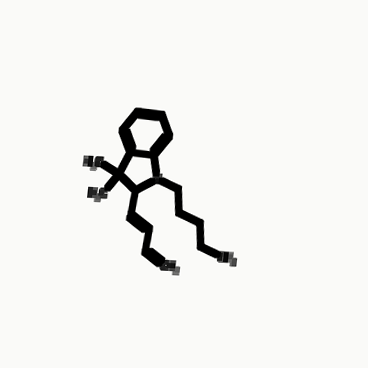 C=CC=CC1N(CCCCC)c2ccccc2C1(C)C